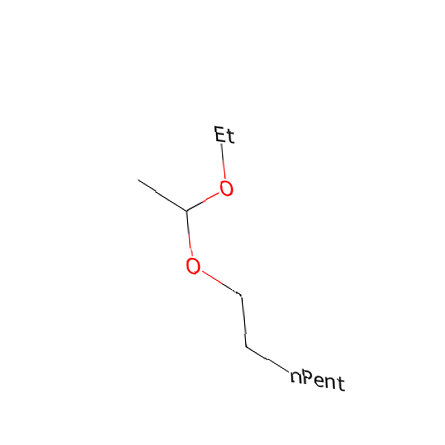 [CH2]CCCCCCOC(C)OCC